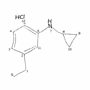 CCc1cccc(NC2CC2)c1.Cl